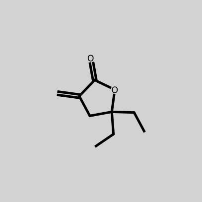 C=C1CC(CC)(CC)OC1=O